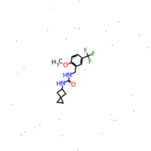 COc1ccc(C(F)(F)F)cc1CNC(=O)NC1CC2(CC2)C1